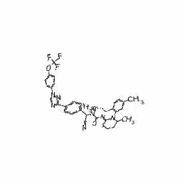 CCCc1ccc(C)cc1N1/C(=N/C(=O)NC(C#N)c2ccc(-c3ncn(-c4ccc(OC(F)(F)F)cc4)n3)cc2)SCCC1C